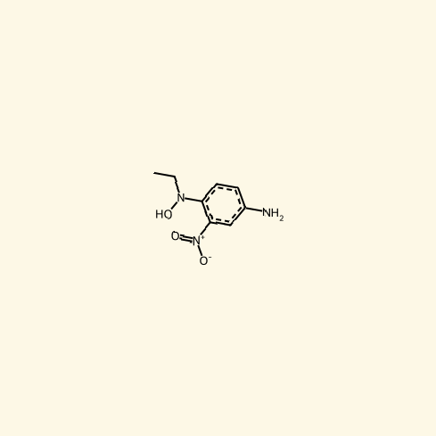 CCN(O)c1ccc(N)cc1[N+](=O)[O-]